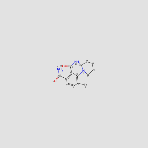 CCc1ccc(C(N)=O)c(C(N)=O)c1N1CCCCC1